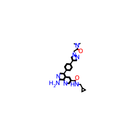 CN(C)C(=O)Cn1cc(-c2ccc(-c3cnc(N)c4ncc(C(=O)NCC5CC5)cc34)cc2)cn1